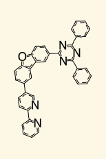 c1ccc(-c2nc(-c3ccccc3)nc(-c3ccc4oc5ccc(-c6ccc(-c7ccccn7)nc6)cc5c4c3)n2)cc1